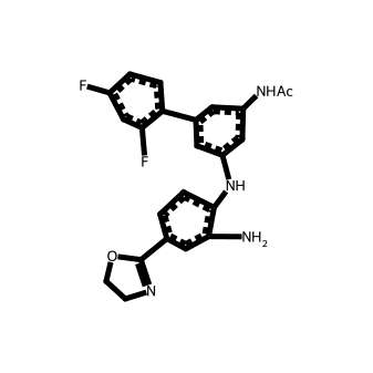 CC(=O)Nc1cc(Nc2ccc(C3=NCCO3)cc2N)cc(-c2ccc(F)cc2F)c1